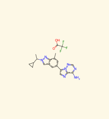 Cc1cc(-c2cnc3c(N)ncnn23)cc2cn(C(C)C3CC3)nc12.O=C(O)C(F)(F)F